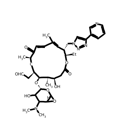 CC[C@H]1OC(=O)C[C@@H](O)[C@H](C)[C@@H](O[C@@H]2O[C@@H]3OC3C(N(C)C)C2O)[C@@H](CC=O)C[C@@H](C)C(=O)/C=C/C(C)=C/[C@@H]1Cn1cc(-c2cccnc2)nn1